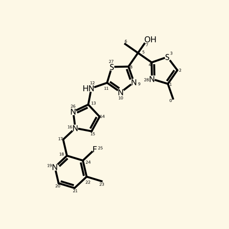 Cc1csc(C(C)(O)c2nnc(Nc3ccn(Cc4nccc(C)c4F)n3)s2)n1